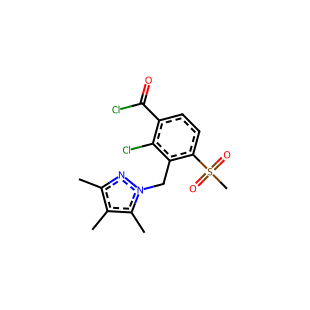 Cc1nn(Cc2c(S(C)(=O)=O)ccc(C(=O)Cl)c2Cl)c(C)c1C